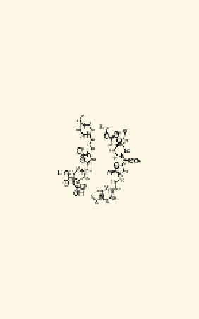 CCN1CCN(CCCN2CC(CN3CCC(CC(=O)O)(C(=O)O)CC3)OC2=O)CC1.CCOC(=O)CC1(OCC)CCN(C(=C=O)C2CN(CCCN3CCN(CC)CC3)C(=O)O2)CC1